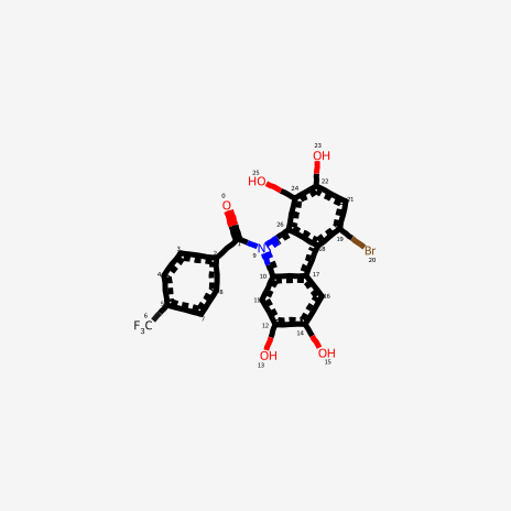 O=C(c1ccc(C(F)(F)F)cc1)n1c2cc(O)c(O)cc2c2c(Br)cc(O)c(O)c21